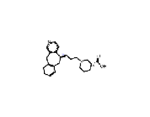 O=C(O)[C@@H]1CCCN(CC/C=C2\CC3=C(CCC=C3)Cc3cnccc32)C1